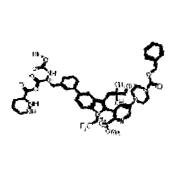 CO[C@@H](C)c1ncc(N2CCN(C(=O)OCc3ccccc3)CC2)cc1-c1c(CC(C)(C)CO)c2cc(-c3cccc(C[C@H](NC(=O)OC(C)(C)C)C(=O)OC(=O)C4CCCNN4)c3)ccc2n1CC(F)(F)F